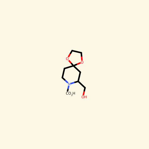 O=C(O)N1CCC2(CC1CO)OCCO2